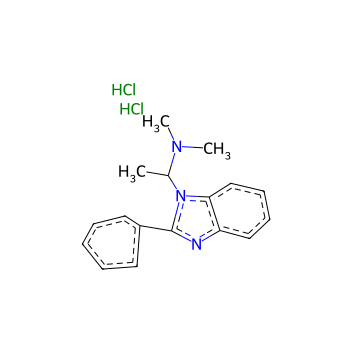 CC(N(C)C)n1c(-c2ccccc2)nc2ccccc21.Cl.Cl